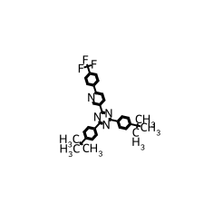 CC(C)(C)c1ccc(-c2nc(-c3ccc(C(C)(C)C)cc3)nc(-c3ccc(-c4ccc(C(F)(F)F)cc4)nc3)n2)cc1